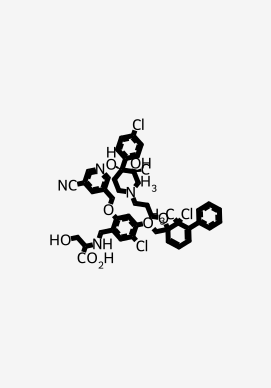 CC1(Cl)C(c2ccccc2)=CC=CC1(COc1cc(OCc2cncc(C#N)c2)c(CNC(CO)C(=O)O)cc1Cl)OCCCN1CC[C@@](O)(c2ccc(Cl)cc2)[C@](C)(O)C1